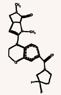 CN1CC2C=C(N3CCOc4cc(C(=O)N5CCC(F)(F)C5)ccc43)N(C)C2C1=O